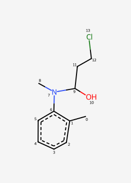 Cc1ccccc1N(C)C(O)CCCl